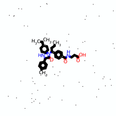 CCCC(c1ccc(C(=O)NCCC(=O)O)cc1)N1C(=O)C(c2ccc(C)cc2)NC12CCC(C(C)C)CC2